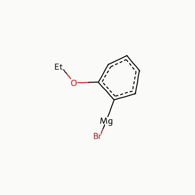 CCOc1cccc[c]1[Mg][Br]